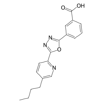 CCCCc1ccc(-c2nnc(-c3cccc(C(=O)O)c3)o2)nc1